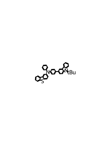 CC(C)(C)n1c2ccccc2c2cc(-c3ccc(N(c4ccccc4)c4ccc5sc6ccccc6c5c4)cc3)ccc21